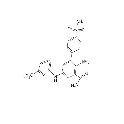 NC(=O)c1cc(Nc2cccc(C(=O)O)c2)cc(-c2ccc(S(N)(=O)=O)cc2)c1N